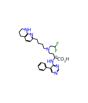 O=C(O)[C@H](CCN(CCCCc1ccc2c(n1)NCCC2)CC(F)F)Nc1ncncc1-c1ccccc1